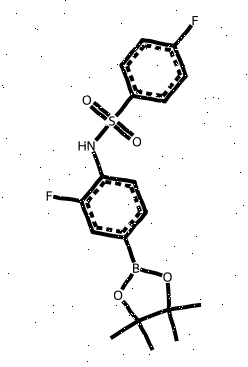 CC1(C)OB(c2ccc(NS(=O)(=O)c3ccc(F)cc3)c(F)c2)OC1(C)C